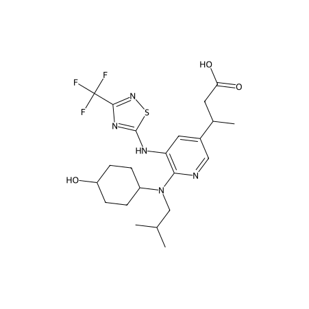 CC(C)CN(c1ncc(C(C)CC(=O)O)cc1Nc1nc(C(F)(F)F)ns1)C1CCC(O)CC1